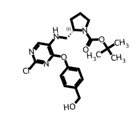 CC(C)(C)OC(=O)N1CCC[C@H]1CNc1cnc(Cl)nc1Oc1ccc(CO)cc1